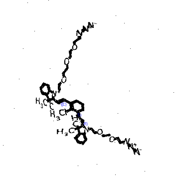 CC1(C)C(/C=C/C2=C(Cl)C(=C/C=C3/N(CCOCCOCCN=[N+]=[N-])c4ccccc4C3(C)C)/CCC2)=[N+](CCOCCOCCOCCN=[N+]=[N-])c2ccccc21